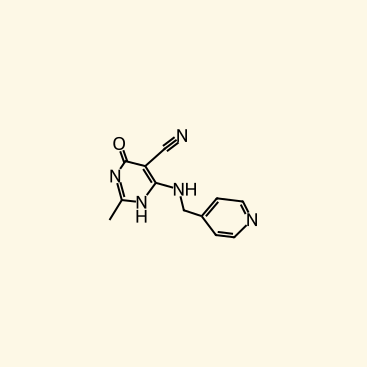 Cc1nc(=O)c(C#N)c(NCc2ccncc2)[nH]1